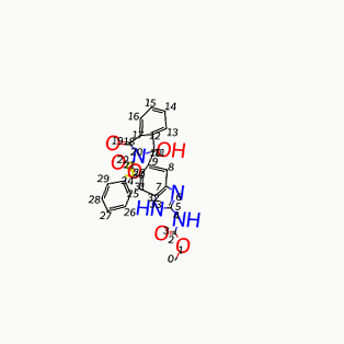 COC(=O)Nc1nc2cc(C3(O)c4ccccc4C(=O)N3S(=O)(=O)c3ccccc3)ccc2[nH]1